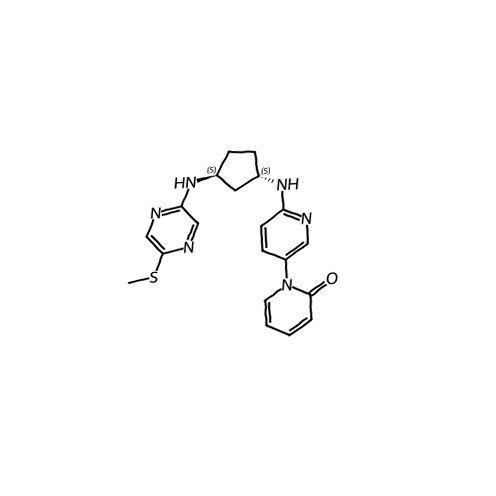 CSc1cnc(N[C@H]2CC[C@H](Nc3ccc(-n4ccccc4=O)cn3)C2)cn1